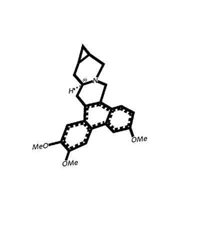 COc1ccc2c3c(c4cc(OC)c(OC)cc4c2c1)C[C@H]1CC2CC2CN1C3